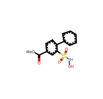 COC(=O)c1ccc(-c2ccccc2)c(S(=O)(=O)NO)c1